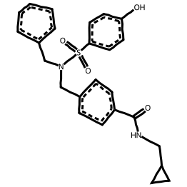 O=C(NCC1CC1)c1ccc(CN(Cc2ccccc2)S(=O)(=O)c2ccc(O)cc2)cc1